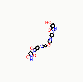 O=C1CCC(N2Cc3cc(N4CC5(CC(OC6CCN(c7ccc(-n8cnc9ccc(O)cc9c8=O)cc7)CC6)C5)C4)ccc3C2=O)C(=O)N1